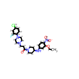 CCOc1cc(NC2CCN(C(=O)CCN3CCN(c4ccc(Cl)cc4F)CC3)CC2)ccc1[N+](=O)[O-]